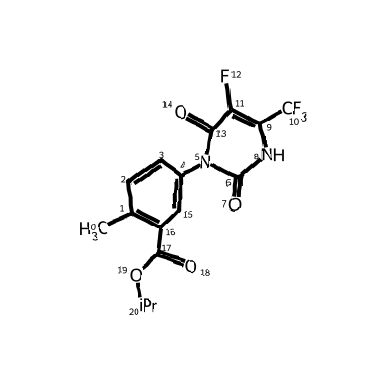 Cc1ccc(-n2c(=O)[nH]c(C(F)(F)F)c(F)c2=O)cc1C(=O)OC(C)C